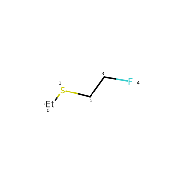 C[CH]SCCF